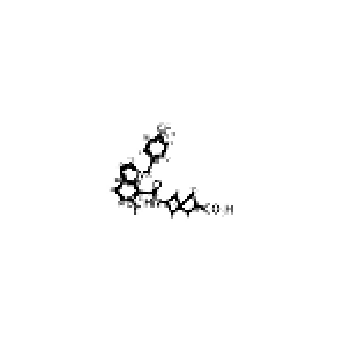 O=C(NC1CC2(C1)CC(C(=O)O)C2)c1c(F)ccc2ccn(Cc3ccc(C(F)(F)F)cc3)c12